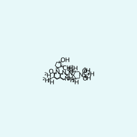 [2H]C([2H])([2H])c1cc2cnc(NC3([2H])C([2H])([2H])CN(S(=O)(=O)C([2H])([2H])[2H])CC3([2H])[2H])nc2n([C@@H]2CC[C@@H](O)[C@H]2C)c1=O